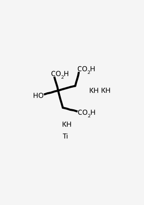 O=C(O)CC(O)(CC(=O)O)C(=O)O.[KH].[KH].[KH].[Ti]